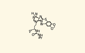 CC(C)NC(=O)NC(CCn1cnc(N)c2nc(Sc3cc4c(cc3Br)OCO4)nc1-2)C1CC1